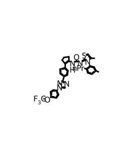 CCCc1ccc(C)cc1-n1c(C)cs/c1=N\C(=O)NC1=C(c2ccc(-c3ncn(-c4ccc(OC(F)(F)F)cc4)n3)cc2)CCC1